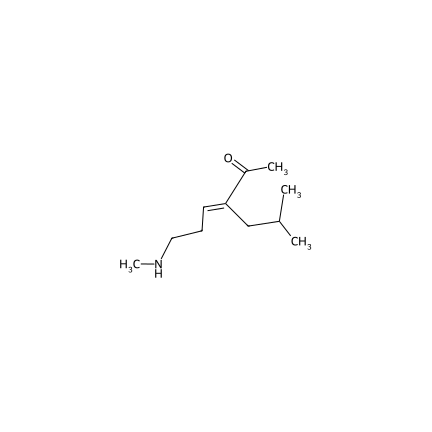 CNCC/C=C(\CC(C)C)C(C)=O